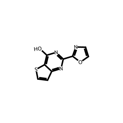 Oc1nc(-c2ncco2)nc2ccsc12